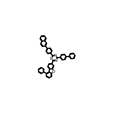 c1ccc(-c2ccc(-c3nc(-c4ccc(-c5ccc6ccccc6c5)cc4)nc(-c4ccc5c(c4)oc4cccc(-c6ccccc6)c45)n3)cc2)cc1